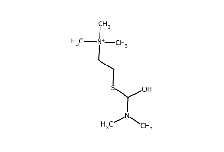 CN(C)C(O)SCC[N+](C)(C)C